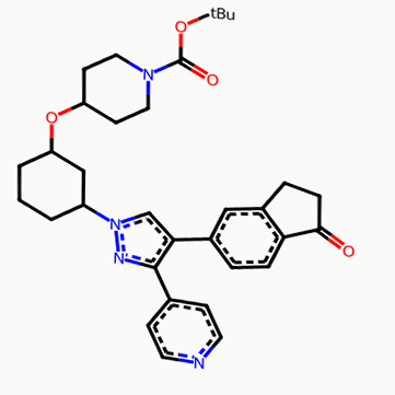 CC(C)(C)OC(=O)N1CCC(OC2CCCC(n3cc(-c4ccc5c(c4)CCC5=O)c(-c4ccncc4)n3)C2)CC1